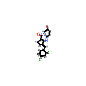 O=c1c2c(nc3ccc(Br)cn13)C(=Cc1ccc(Cl)cc1Cl)CC2